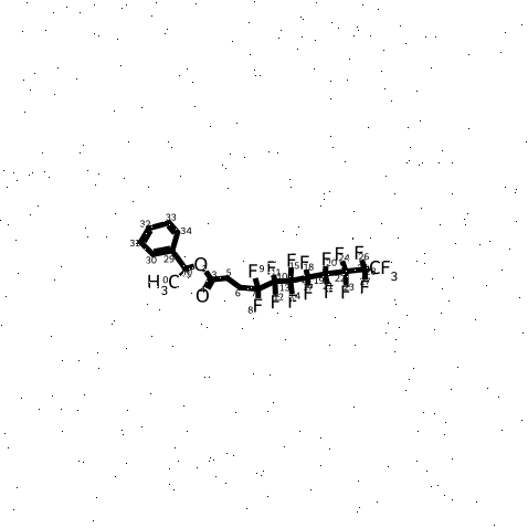 C[C@@H](OC(=O)CCC(F)(F)C(F)(F)C(F)(F)C(F)(F)C(F)(F)C(F)(F)C(F)(F)C(F)(F)F)c1ccccc1